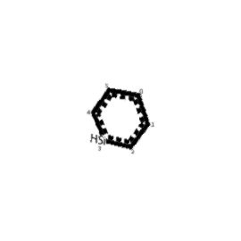 [c]1cc[siH]cc1